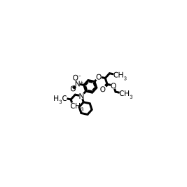 CCOC(=O)C(CC)Oc1ccc(N(CC(C)C)C2CCCCC2)c([N+](=O)[O-])c1